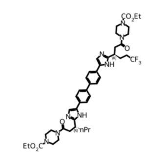 CCC[C@H](CC(=O)N1CCN(C(=O)OCC)CC1)c1ncc(-c2ccc(-c3ccc(-c4cnc([C@H](CCC(F)(F)F)CC(=O)N5CCN(C(=O)OCC)CC5)[nH]4)cc3)cc2)[nH]1